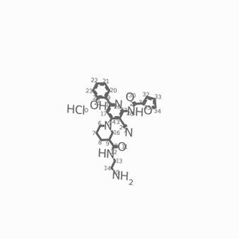 Cl.N#Cc1c(N2CCCC(C(=O)NCCN)C2)cc(-c2ccccc2O)nc1NC(=O)c1ccco1